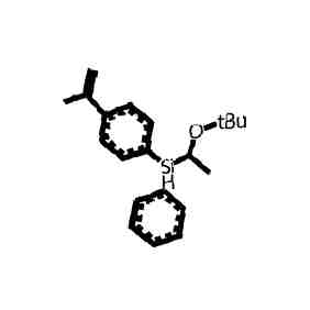 C=C(C)c1ccc([SiH](c2ccccc2)C(C)OC(C)(C)C)cc1